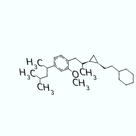 COc1cc(C(C)CC(C)C)ccc1CC(C)[C@H]1C[C@H]1CCC1CCCCC1